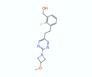 COC1CN(c2ncc(CCc3cccc(CO)c3F)cn2)C1